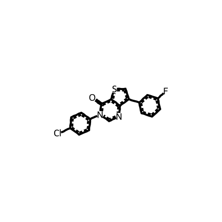 O=c1c2scc(-c3cccc(F)c3)c2ncn1-c1ccc(Cl)cc1